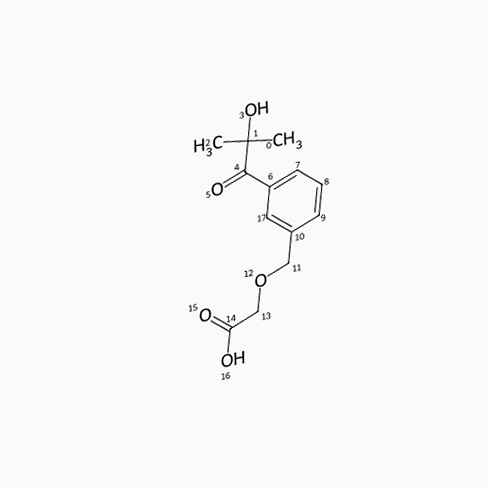 CC(C)(O)C(=O)c1cccc(COCC(=O)O)c1